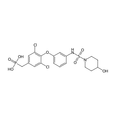 O=P(O)(O)Cc1cc(Cl)c(Oc2cccc(NS(=O)(=O)N3CCC(O)CC3)c2)c(Cl)c1